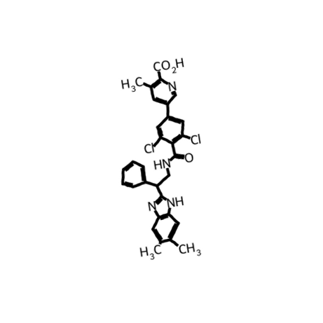 Cc1cc2nc(C(CNC(=O)c3c(Cl)cc(-c4cnc(C(=O)O)c(C)c4)cc3Cl)c3ccccc3)[nH]c2cc1C